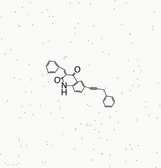 O=C1Nc2ccc(C#CCc3ccccc3)cc2C(=O)/C1=C/c1ccccc1